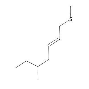 [CH2]SCC=CCC(C)CC